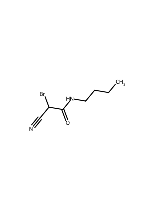 CCCCNC(=O)C(Br)C#N